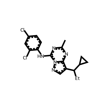 CCC(c1cnn2c(Nc3ccc(Cl)cc3Cl)nc(C)nc12)C1CC1